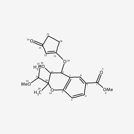 COC(=O)c1ccc2c(c1)C(OC1=CC(=O)CC1)C(O)C(C)(C(C)OC)O2